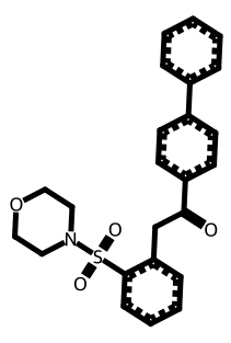 O=C(Cc1ccccc1S(=O)(=O)N1CCOCC1)c1ccc(-c2ccccc2)cc1